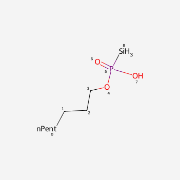 CCCCCCCCOP(=O)(O)[SiH3]